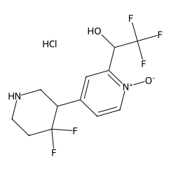 Cl.[O-][n+]1ccc(C2CNCCC2(F)F)cc1C(O)C(F)(F)F